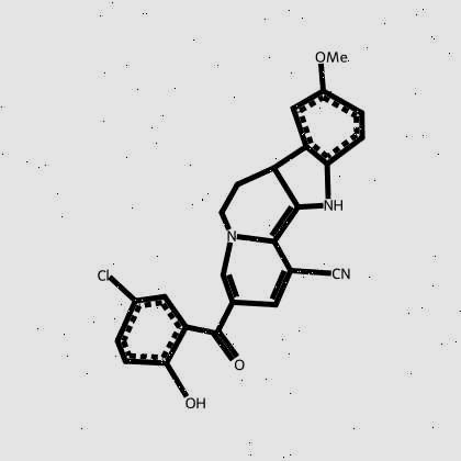 COc1ccc2c(c1)C1CCN3C=C(C(=O)c4cc(Cl)ccc4O)C=C(C#N)C3=C1N2